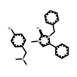 Brc1ccc(CN(I)I)cc1.Cn1cc(-c2ccccc2)n(Cc2ccccc2)[c]1=[Pt]